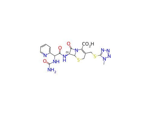 Cn1nnnc1SCC1=C(C(=O)O)N2C(=O)[C@H](NC(=O)C(NC(N)=O)c3ccccn3)C2SC1